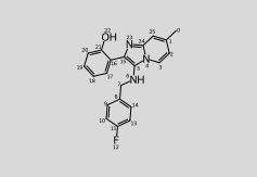 Cc1ccn2c(NCc3ccc(F)cc3)c(-c3ccccc3O)nc2c1